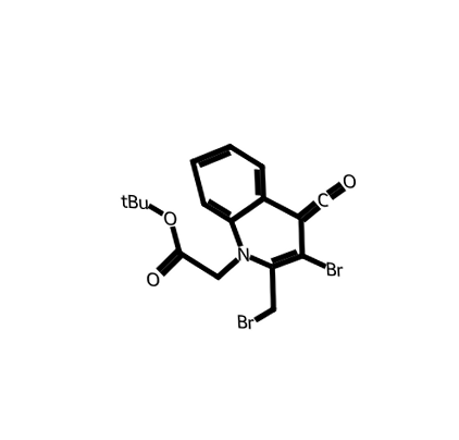 CC(C)(C)OC(=O)CN1C(CBr)=C(Br)C(=C=O)c2ccccc21